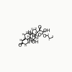 CCCOCO[C@]1(C(=O)CO)CC[C@H]2[C@@H]3CCC4=CC(=O)CC[C@]4(C)[C@H]3C(O)C[C@@]21C